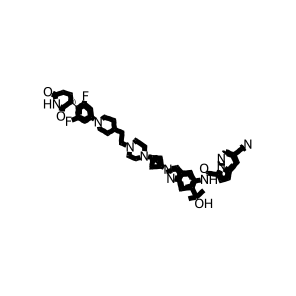 CC(C)(O)c1cc2nn(C34CC(N5CCN(CCC6CCN(c7cc(F)c([C@H]8CCC(=O)NC8=O)c(F)c7)CC6)CC5)(C3)C4)cc2cc1NC(=O)c1ccc2cc(C#N)cnn12